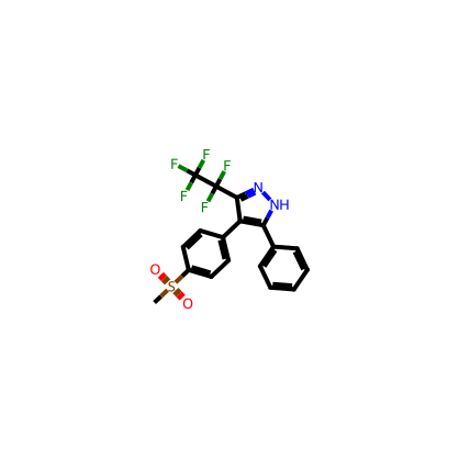 CS(=O)(=O)c1ccc(-c2c(C(F)(F)C(F)(F)F)n[nH]c2-c2ccccc2)cc1